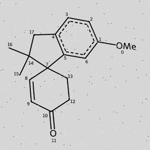 COc1ccc2c(c1)C1(C=CC(=O)CC1)C(C)(C)C2